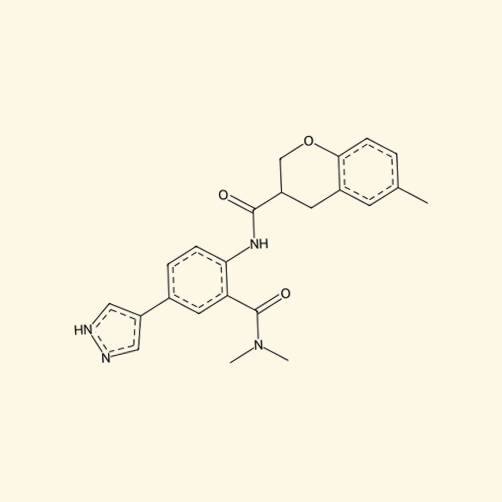 Cc1ccc2c(c1)CC(C(=O)Nc1ccc(-c3cn[nH]c3)cc1C(=O)N(C)C)CO2